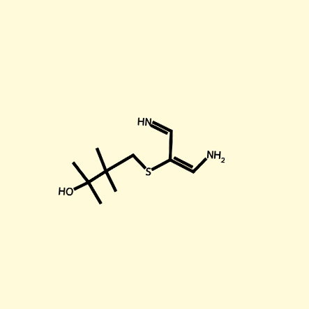 CC(C)(O)C(C)(C)CS/C(C=N)=C/N